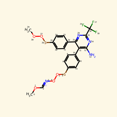 CO/C=N/OOSc1ccc(-c2c(N)nc(C(F)(F)F)nc2-c2ccc(SOOC)cc2)cc1